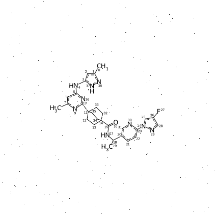 Cc1cc(Nc2cc(C)nc(C34CCC(C(=O)NC(C)c5ccc(-n6cc(F)cn6)nc5)(CC3)CC4)n2)[nH]n1